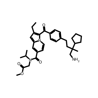 CCc1cc2cc(C(=O)N(CC(=O)OC)C(C)C)ccn2c1C(=O)c1ccc(CCC(C)(CN)C2CCCC2)cc1